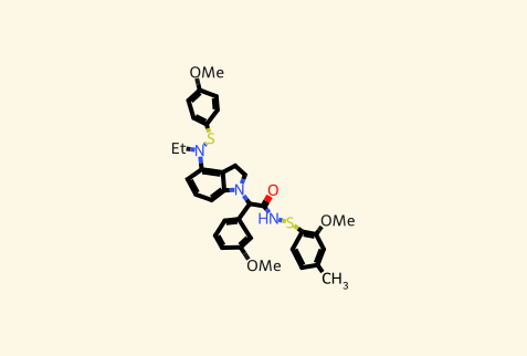 CCN(Sc1ccc(OC)cc1)c1cccc2c1CCN2C(C(=O)NSc1ccc(C)cc1OC)c1cccc(OC)c1